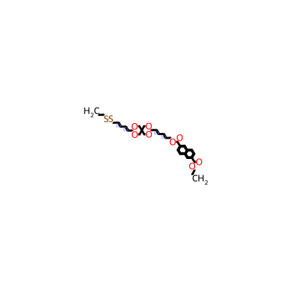 C=CCOC(=O)c1ccc2cc(C(=O)OC/C=C/C=C/C3OCC4(CO3)COC(/C=C/C=C/CSSCC=C)OC4)ccc2c1